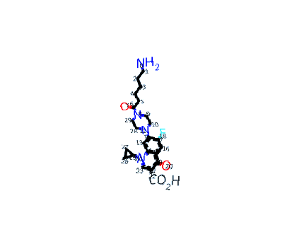 NCCCCCC(=O)N1CCN(c2cc3c(cc2F)c(=O)c(C(=O)O)cn3C2CC2)CC1